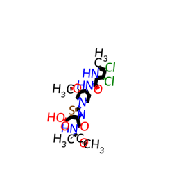 COC[C@H](C)NC(=O)c1nc(N2CCC(NC(=O)c3[nH]c(C)c(Cl)c3Cl)[C@@H](OC)C2)sc1C(=O)O